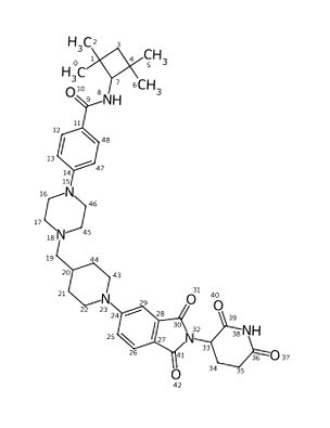 CC1(C)CC(C)(C)C1NC(=O)c1ccc(N2CCN(CC3CCN(c4ccc5c(c4)C(=O)N(C4CCC(=O)NC4=O)C5=O)CC3)CC2)cc1